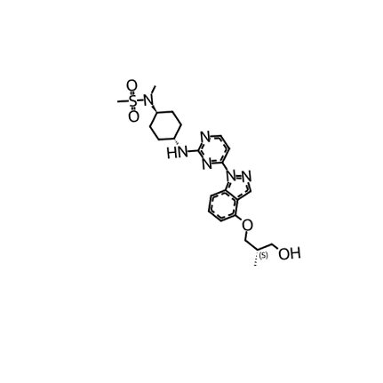 C[C@@H](CO)COc1cccc2c1cnn2-c1ccnc(N[C@H]2CC[C@H](N(C)S(C)(=O)=O)CC2)n1